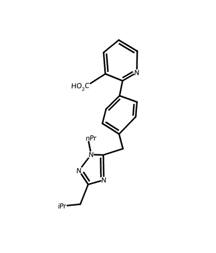 CCCn1nc(CC(C)C)nc1Cc1ccc(-c2ncccc2C(=O)O)cc1